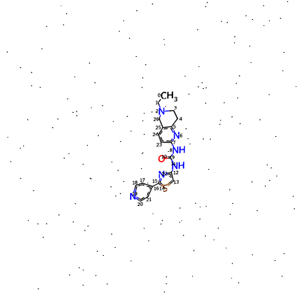 CCN1CCc2nc(NC(=O)Nc3csc(-c4ccncc4)n3)ccc2C1